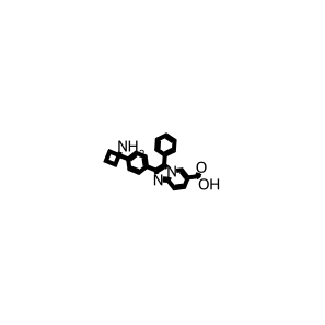 NC1(c2ccc(-c3nc4ccc(C(=O)O)cn4c3-c3ccccc3)cc2)CCC1